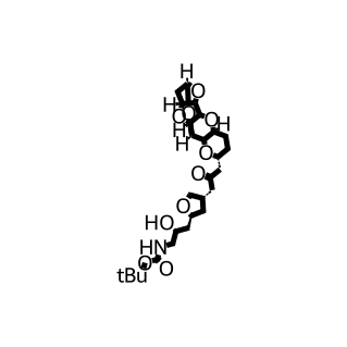 CC(C)(C)OC(=O)NC[C@@H](O)C[C@@H]1C[C@@H](CC(=O)C[C@H]2CC[C@@H]3OC4C5O[C@@H]6C[C@H]5O[C@H]4[C@@H](O6)C3O2)CO1